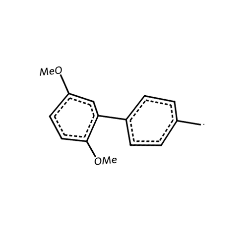 [CH2]c1ccc(-c2cc(OC)ccc2OC)cc1